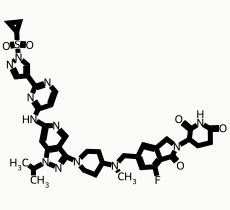 CC(C)n1nc(N2CCC(N(C)Cc3cc(F)c4c(c3)CN(C3CCC(=O)NC3=O)C4=O)CC2)c2cnc(Nc3ccnc(-c4cnn(S(=O)(=O)C5CC5)c4)n3)cc21